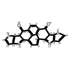 O=C1c2ccc3c4c(ccc(c24)C2=Nc4ccsc4C12)C1=Nc2ccsc2C1C3=O